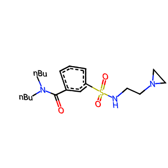 CCCCN(CCCC)C(=O)c1cccc(S(=O)(=O)NCCN2CC2)c1